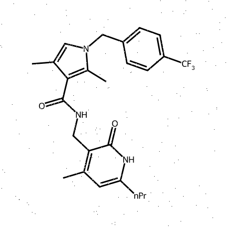 CCCc1cc(C)c(CNC(=O)c2c(C)cn(Cc3ccc(C(F)(F)F)cc3)c2C)c(=O)[nH]1